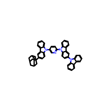 c1ccc2c(c1)c1ccccc1n2-c1ccc2c(c1)c1ccccc1n2-c1ccc(-n2c3ccccc3c3cc(C45CC6CC(CC(C6)C4)C5)ccc32)cn1